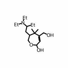 CCC(CC1COC(O)C=C(CO)C1(C)C)N(CC)CC